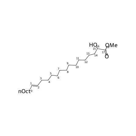 CCCCCCCCC=CCCCCCCCCCCCCC(O)C(=O)OC